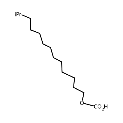 CC(C)CCCCCCCCCCCOC(=O)O